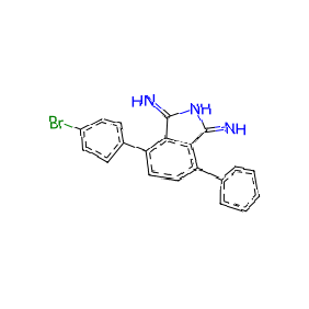 N=C1NC(=N)c2c(-c3ccc(Br)cc3)ccc(-c3ccccc3)c21